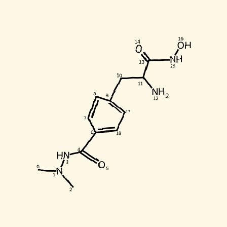 CN(C)NC(=O)c1ccc(CC(N)C(=O)NO)cc1